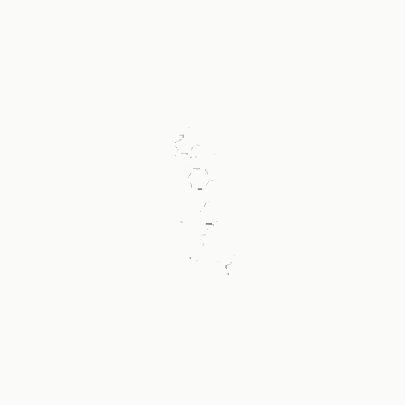 COc1cc(/C=C2\CCCN([C@H]3CN(C(=O)O)C[C@@H]3O)C2=O)ccc1-n1cnc(C)c1